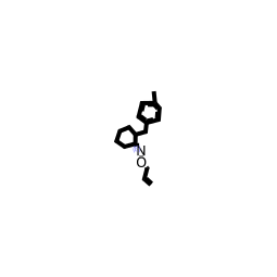 C=CCO/N=C1\CCCCC1Cc1ccc(C)cc1